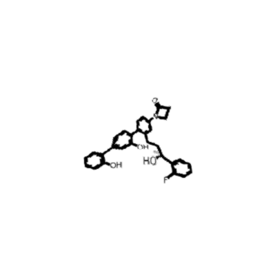 O=C1CCN1c1ccc(-c2ccc(-c3ccccc3O)cc2O)c(CC[C@H](O)c2ccccc2F)c1